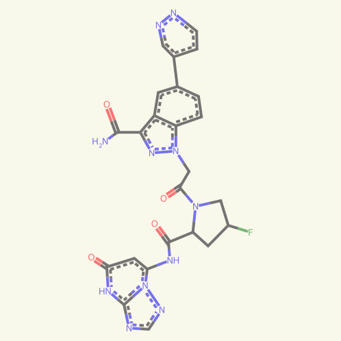 NC(=O)c1nn(CC(=O)N2CC(F)CC2C(=O)Nc2cc(=O)[nH]c3ncnn23)c2ccc(-c3ccnnc3)cc12